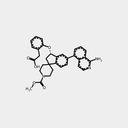 COC(=O)N1CCC2(CC1)C[C@H](Oc1ccccc1CC(=O)O)c1cc(-c3cccc4c(N)nccc34)ccc12